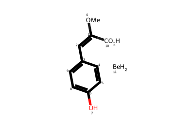 COC(=Cc1ccc(O)cc1)C(=O)O.[BeH2]